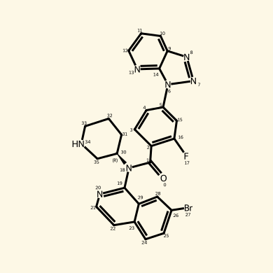 O=C(c1ccc(-n2nnc3cccnc32)cc1F)N(c1nccc2ccc(Br)cc12)[C@@H]1CCCNC1